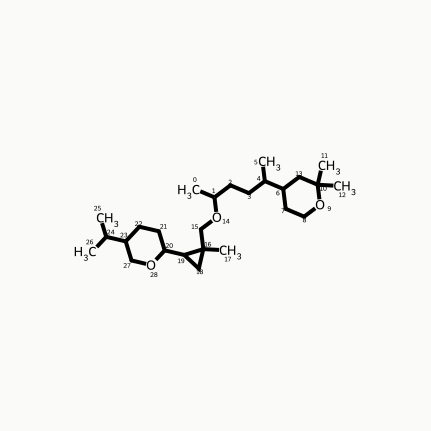 CC(CCC(C)C1CCOC(C)(C)C1)OCC1(C)CC1C1CCC(C(C)C)CO1